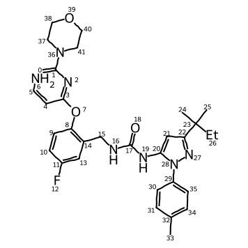 C=C(/N=C(\C=C/N)Oc1ccc(F)cc1CNC(=O)Nc1cc(C(C)(C)CC)nn1-c1ccc(C)cc1)N1CCOCC1